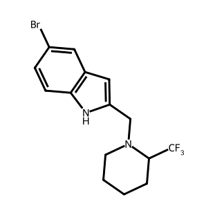 FC(F)(F)C1CCCCN1Cc1cc2cc(Br)ccc2[nH]1